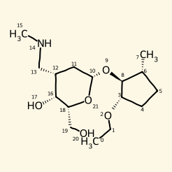 CCO[C@H]1CC[C@@H](C)[C@@H]1O[C@H]1C[C@@H](CNC)[C@@H](O)[C@@H](CO)O1